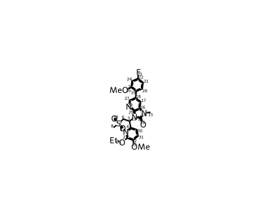 CCOc1nc(C(CS(C)(=O)=O)n2c(=O)n(C)c3cc(-c4ccc(F)cc4OC)cnc32)ccc1OC